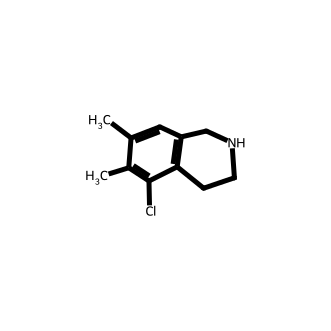 Cc1cc2c(c(Cl)c1C)CCNC2